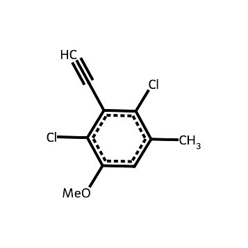 C#Cc1c(Cl)c(C)cc(OC)c1Cl